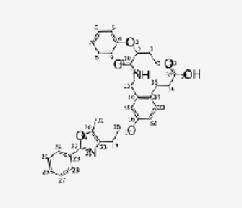 CCC(Oc1ccccc1)C(=O)NCc1cc(OCCc2nc(-c3ccccc3)oc2C)ccc1CCC(=O)O